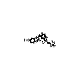 Cc1noc(CNC(=O)c2cccc3cnc(N[C@H]4CC[C@H](O)CC4)nc23)n1